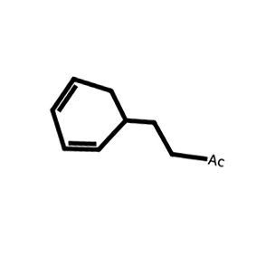 CC(=O)CCC1C=CC=CC1